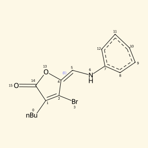 CCCCC1=C(Br)/C(=C\Nc2ccccc2)OC1=O